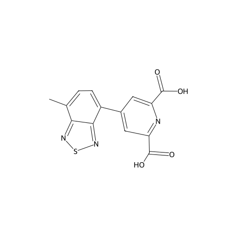 Cc1ccc(-c2cc(C(=O)O)nc(C(=O)O)c2)c2nsnc12